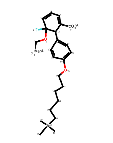 CCC[C@H](C)COC1(F)C=CC=C(C(=O)O)C1c1ccc(OCCCCCC[Si](C)(C)C)cc1